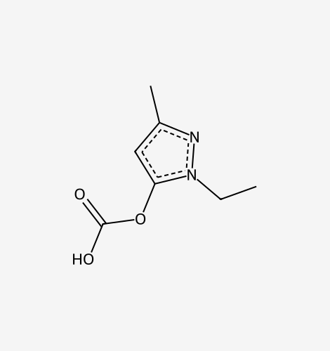 CCn1nc(C)cc1OC(=O)O